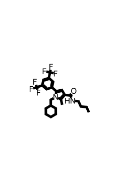 CCCCNC(=O)c1cc(-c2cc(C(F)(F)F)cc(C(F)(F)F)c2)n(CC2CCCCC2)c1C